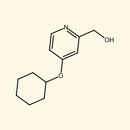 OCc1cc(OC2CCCCC2)ccn1